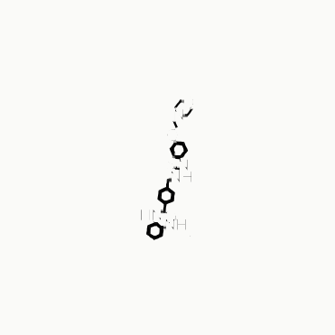 Nc1ccccc1NC(=O)c1ccc(CNc2nc3ccc(OCCN4CCOCC4)cc3s2)cc1